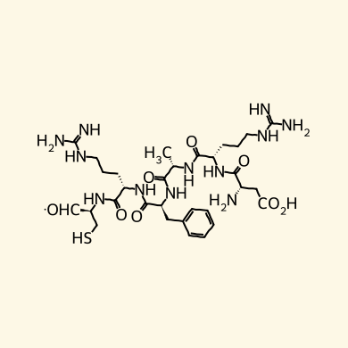 C[C@H](NC(=O)[C@H](CCCNC(=N)N)NC(=O)[C@@H](N)CC(=O)O)C(=O)N[C@@H](Cc1ccccc1)C(=O)N[C@@H](CCCNC(=N)N)C(=O)N[C@H]([C]=O)CS